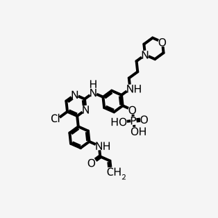 C=CC(=O)Nc1cccc(-c2nc(Nc3ccc(OP(=O)(O)O)c(NCCCN4CCOCC4)c3)ncc2Cl)c1